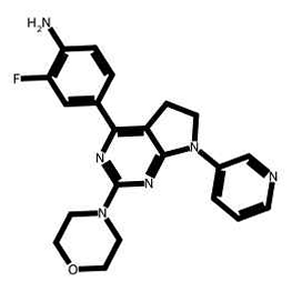 Nc1ccc(-c2nc(N3CCOCC3)nc3c2CCN3c2cccnc2)cc1F